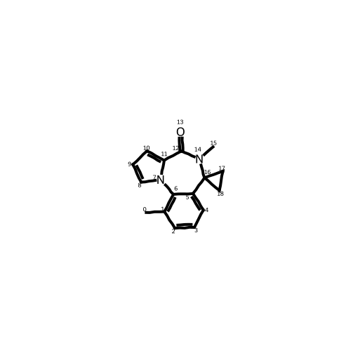 Cc1cccc2c1-n1cccc1C(=O)N(C)C21CC1